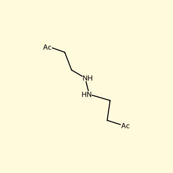 CC(=O)CCNNCCC(C)=O